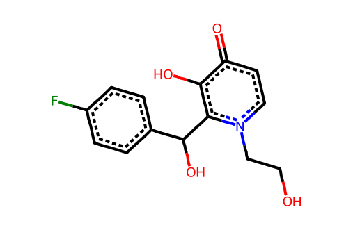 O=c1ccn(CCO)c(C(O)c2ccc(F)cc2)c1O